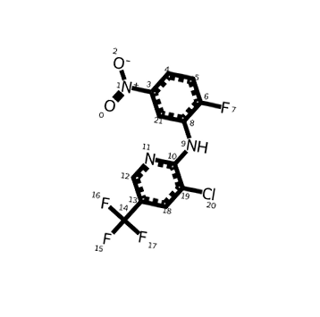 O=[N+]([O-])c1ccc(F)c(Nc2ncc(C(F)(F)F)cc2Cl)c1